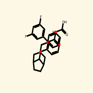 O=C(O)Nc1cccc(CC2C3CCC2CN(Cc2ccccc2)C3)c1-c1cc(F)cc(F)c1